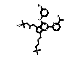 CC(C)(O)CNCc1cn(COCC[Si](C)(C)C)c2nc(-c3cccc(C(F)F)n3)nc(Nc3ccnc(Br)c3)c12